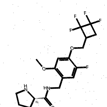 COc1cc(OCC2CC(F)(F)C2(F)F)c(F)cc1CNC(=O)[C@@H]1CCCN1